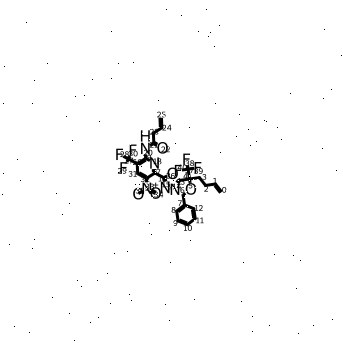 C=CCCC(OCc1ccccc1)(c1nnc(-c2nc(NC(=O)CC=C)c(C(F)(F)F)cc2[N+](=O)[O-])o1)C(F)(F)F